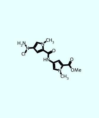 COC(=O)c1cc(NC(=O)c2cc(N(N)Cl)cn2C)cn1C